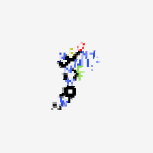 CC(=O)N1Cc2ccc(N3C=CN(c4ccnc5sc(C(N)=O)c(N)c45)CC(F)(F)C3)cc2C1